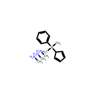 CN.CN.CN.C[Si](C)([C]1C=CC=C1)c1ccccc1